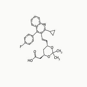 CC1(C)O[C@@H](CC(=O)O)C[C@@H](C=Cc2c(C3CC3)nc3ccccc3c2-c2ccc(F)cc2)O1